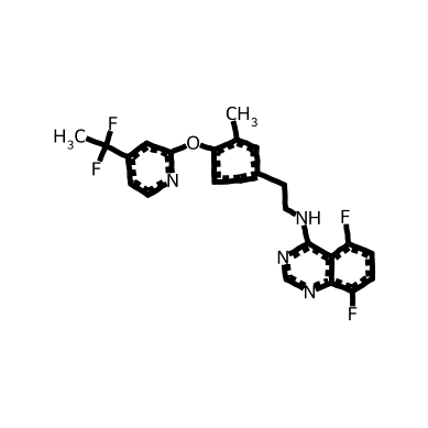 Cc1cc(CCNc2ncnc3c(F)ccc(F)c23)ccc1Oc1cc(C(C)(F)F)ccn1